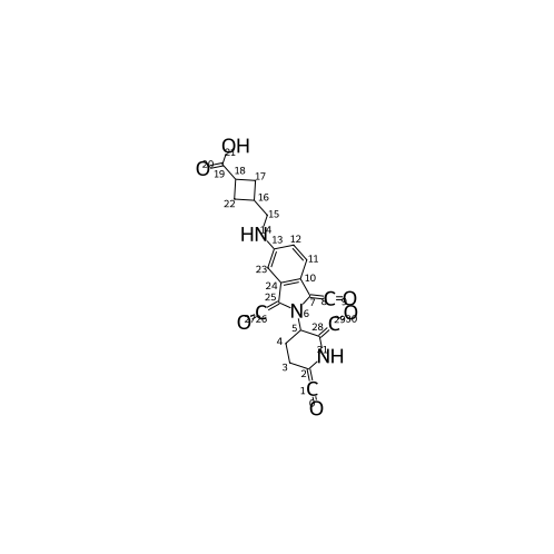 O=C=C1CCC(n2c(=C=O)c3ccc(NCC4CC(C(=O)O)C4)cc3c2=C=O)C(=C=O)N1